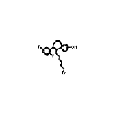 Oc1ccc2c(c1)CCCC(c1cc(F)ccc1F)=C2CCCCCCBr